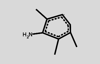 Cc1[c]cc(C)c(C)c1N